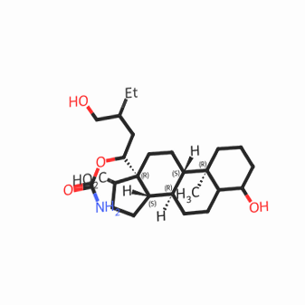 CCC(CO)CC(OC(N)=O)[C@]12CC[C@H]3[C@@H](CCC4C(O)CCC[C@@]43C)[C@@H]1CCC2C(=O)O